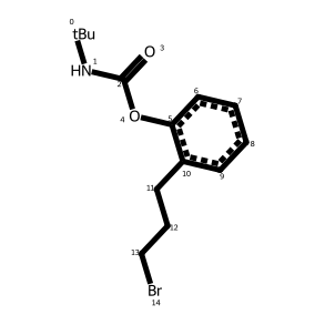 CC(C)(C)NC(=O)Oc1ccccc1CCCBr